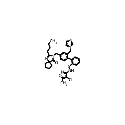 CCCCC1=NC2(CCCC2)C(=O)N1Cc1ccc(-c2ccccc2SNc2noc(C)c2Cl)c(Cn2ccnc2)c1